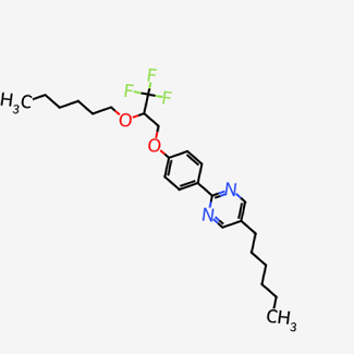 CCCCCCOC(COc1ccc(-c2ncc(CCCCCC)cn2)cc1)C(F)(F)F